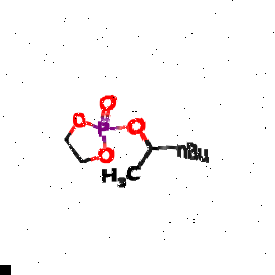 CCCCC(C)OP1(=O)OCCO1